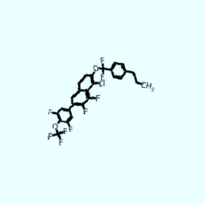 CCCc1ccc(C(F)(F)Oc2ccc3cc(-c4cc(F)c(OC(F)(F)F)c(F)c4)c(F)c(F)c3c2Cl)cc1